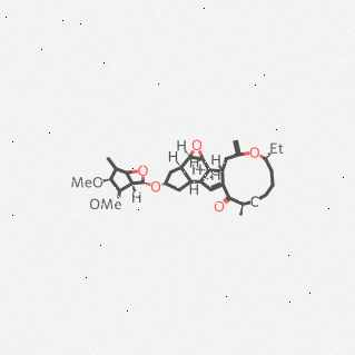 C=C1C[C@@H]2C(=C[C@H]3[C@@H]4C[C@H](O[C@@H]5OC6C(C)[C@H](OC)C(OC)[C@H]65)C[C@H]4[C@H]4O[C@H]4[C@H]32)C(=O)[C@H](C)CCCC[C@H](CC)O1